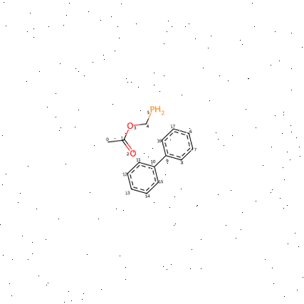 CC(=O)OCP.c1ccc(-c2ccccc2)cc1